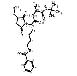 COC1CC(=O)N([C@@H](CCCCNC(=O)c2ccccc2)C(=O)N[C@@H](C)C(=O)OC(C)(C)C)C1=O